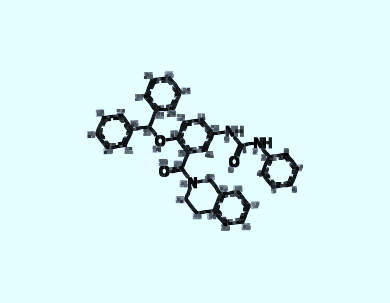 O=C(Nc1ccccc1)Nc1ccc(OC(c2ccccc2)c2ccccc2)c(C(=O)N2CCc3ccccc3C2)c1